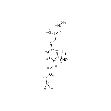 CC(C)NCC(O)COc1ccc(CCOCC2CC2)cc1.O=CO